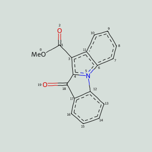 COC(=O)c1c2n(c3ccccc13)-c1ccccc1C2=O